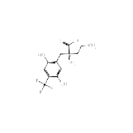 CCC[C@](N)(Cc1cc(O)c(C(F)(F)F)cc1O)C(=O)O